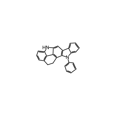 c1ccc(-n2c3ccccc3c3cc4[nH]c5cccc6c5c4c(c32)CC6)cc1